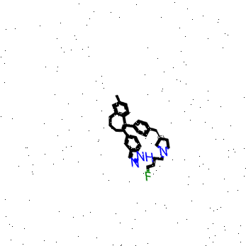 Cc1ccc2c(c1)CCCC(c1ccc3[nH]ncc3c1)=C2c1ccc(C[C@H]2CCN(CCCCF)C2)cc1